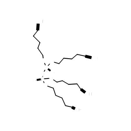 C#CCCCCOP(=O)(OCCCCC#C)OP(=O)(OCCCCC#C)OCCCCC#C